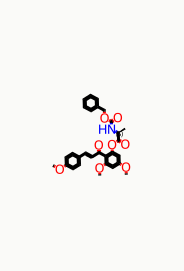 COc1ccc(C=CC(=O)c2c(OC)cc(OC)cc2OC(=O)[C@H](C)NC(=O)OCc2ccccc2)cc1